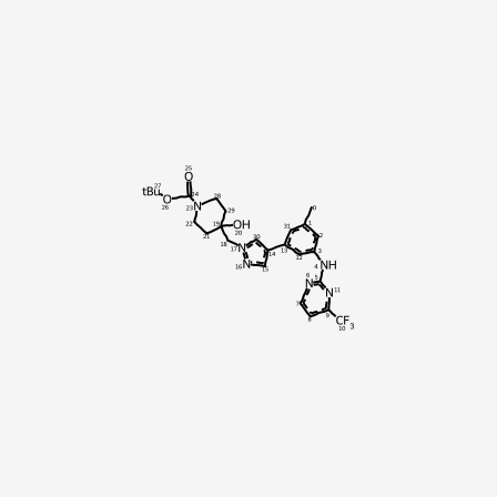 Cc1cc(Nc2nccc(C(F)(F)F)n2)cc(-c2cnn(CC3(O)CCN(C(=O)OC(C)(C)C)CC3)c2)c1